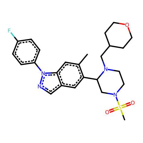 Cc1cc2c(cnn2-c2ccc(F)cc2)cc1C1CN(S(C)(=O)=O)CCN1CC1CCOCC1